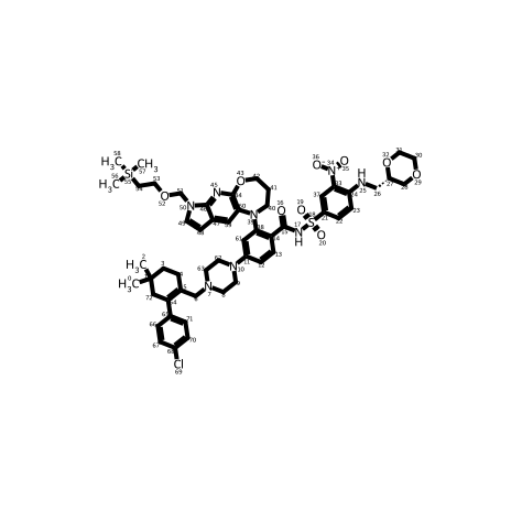 CC1(C)CCC(CN2CCN(c3ccc(C(=O)NS(=O)(=O)c4ccc(NC[C@H]5COCCO5)c([N+](=O)[O-])c4)c(N4CCCOc5nc6c(ccn6COCC[Si](C)(C)C)cc54)c3)CC2)=C(c2ccc(Cl)cc2)C1